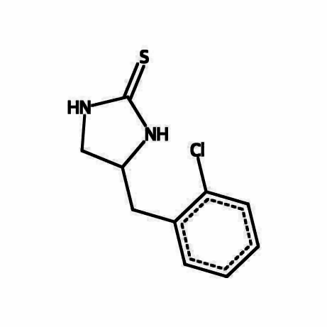 S=C1NCC(Cc2ccccc2Cl)N1